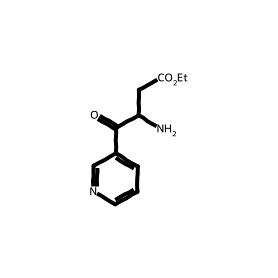 CCOC(=O)CC(N)C(=O)c1cccnc1